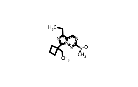 CCc1nc(C2(CC)CCC2)n2nc([S+](C)[O-])ncc12